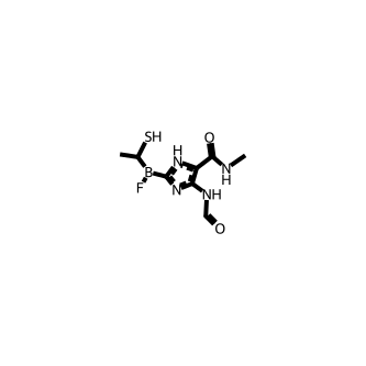 CNC(=O)c1[nH]c(B(F)C(C)S)nc1NC=O